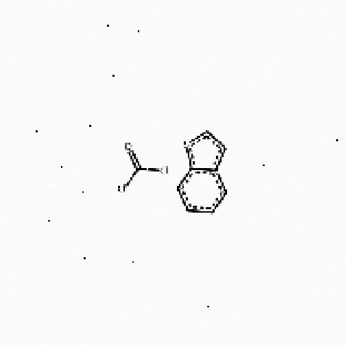 O=C(Cl)Cl.c1ccc2sccc2c1